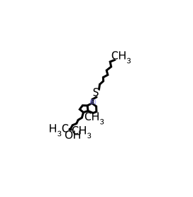 CCCCCCCCCCSC/C=C1\CCCC2(C)C(CCCCC(C)(C)O)CCC12